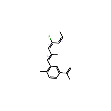 C=C(C)c1ccc(C)c(/C=C(C)/C=C(F)\C=C/C)c1